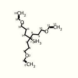 C=COCCCC([SiH3])(CCCOC=C)CCCOC=C